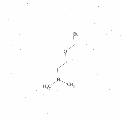 CCC(C)COCCN(C)C